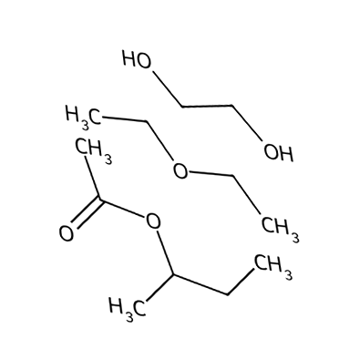 CCC(C)OC(C)=O.CCOCC.OCCO